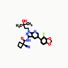 CC(C)(O)CCn1nc(NC(=O)C2(C#N)CCC2)c2cc(-c3ccc4c(c3F)OCO4)cnc21